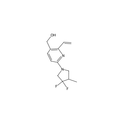 C=Cc1nc(N2CC(C)C(F)(F)C2)ccc1CO